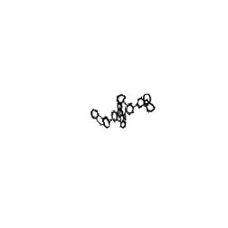 c1ccc2c(c1)Cc1ccc(-c3ccc4c(c3)-c3ccccc3N3B4c4ccccc4-c4cc(-c5ccc6oc7ccccc7c6c5)ccc43)cc1-2